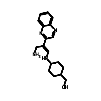 NC/C(=C\NC1CCC(CO)CC1)c1cnc2ccccc2n1